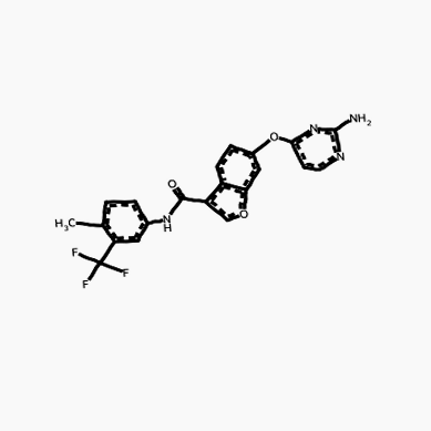 Cc1ccc(NC(=O)c2coc3cc(Oc4ccnc(N)n4)ccc23)cc1C(F)(F)F